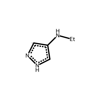 CCNc1[c]n[nH]c1